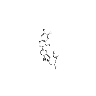 CN1CC(F)Cn2nc3c(c2C1=O)CN(C(=O)Nc1cc(Cl)c(F)cc1F)CC3